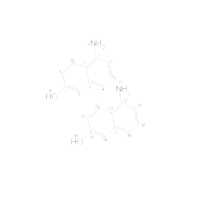 Nc1cccc2cc(O)ccc12.Nc1cccc2cc(O)ccc12